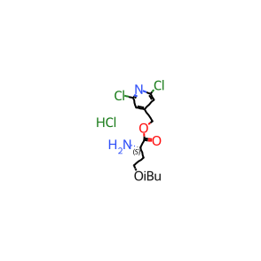 CC(C)COCC[C@H](N)C(=O)OCc1cc(Cl)nc(Cl)c1.Cl